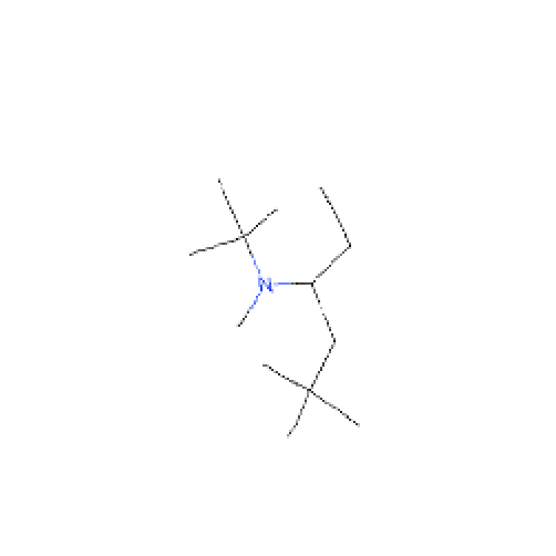 CCC(CC(C)(C)C)N(C)C(C)(C)C